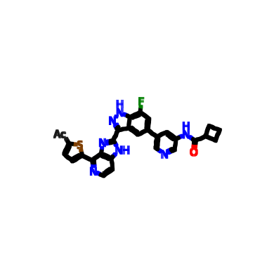 CC(=O)c1ccc(-c2nccc3[nH]c(-c4n[nH]c5c(F)cc(-c6cncc(NC(=O)C7CCC7)c6)cc45)nc23)s1